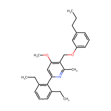 CCCc1cccc(OCc2c(OC)cc(-c3c(CC)cccc3CC)nc2C)c1